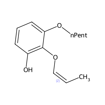 C/C=C\Oc1c(O)cccc1OCCCCC